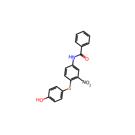 O=C(Nc1ccc(Sc2ccc(O)cc2)c([N+](=O)[O-])c1)c1ccccc1